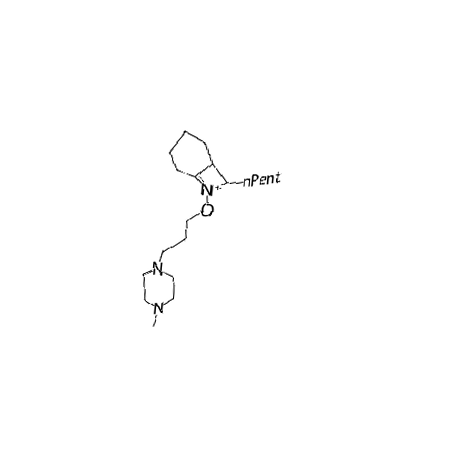 CCCCCC1C2CCCCC2=[N+]1OCCCN1CCN(C)CC1